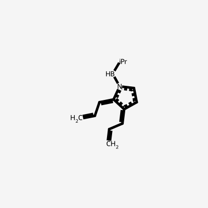 C=C/C=c1/ccn(BC(C)C)/c1=C/C=C